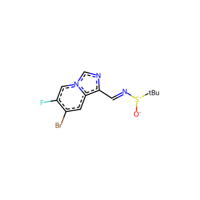 CC(C)(C)[S+]([O-])/N=C/c1ncn2cc(F)c(Br)cc12